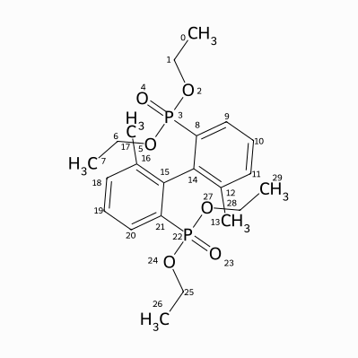 CCOP(=O)(OCC)c1cccc(C)c1-c1c(C)cccc1P(=O)(OCC)OCC